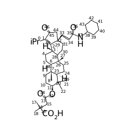 CC(C)C1=C2[C@H]3CC[C@@H]4[C@@]5(C)CC[C@H](OC(=O)CC(C)(C)C(=O)O)C(C)(C)[C@@H]5CC[C@@]4(C)[C@]3(C)CC[C@@]2(C=CC(=O)NC2CCCCC2)CC1=O